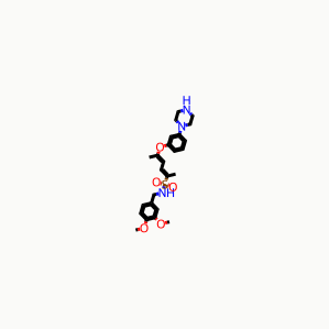 COc1ccc(CNS(=O)(=O)/C(C)=C/C=C(\C)Oc2cccc(N3CCNCC3)c2)cc1OC